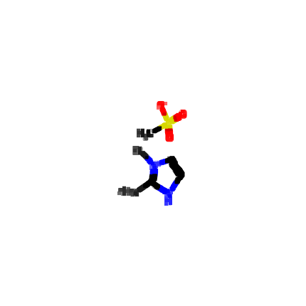 CCCCCCc1[nH]cc[n+]1CC.CS(=O)(=O)[O-]